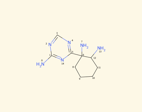 Nc1ncnc(C2(N)CCCCC2N)n1